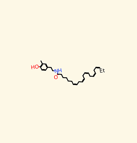 CC/C=C\C/C=C\C/C=C\C/C=C\C/C=C\CCCCCC(=O)NCCc1ccc(O)c(C)c1